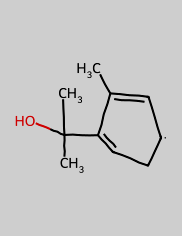 CC1=C[CH]CC=C1C(C)(C)O